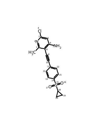 Cc1nc(Cl)cc(N)c1C#Cc1ccc(S(=O)(=O)C2CC2)cc1